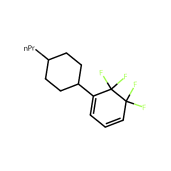 CCCC1CCC(C2=CC=CC(F)(F)C2(F)F)CC1